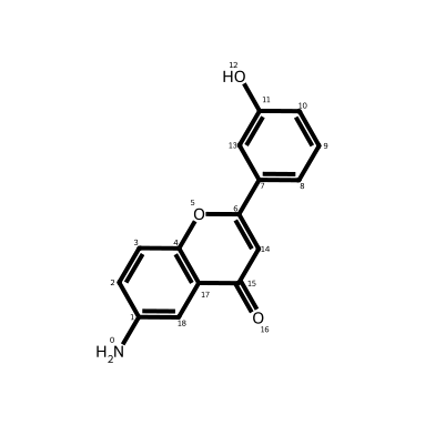 Nc1ccc2oc(-c3cccc(O)c3)cc(=O)c2c1